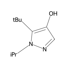 CC(C)n1ncc(O)c1C(C)(C)C